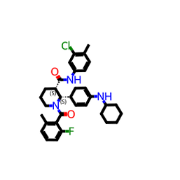 Cc1ccc(NC(=O)[C@H]2CCCN(C(=O)c3c(C)cccc3F)[C@H]2C2C=CC(NC3CCCCC3)=CC2)cc1Cl